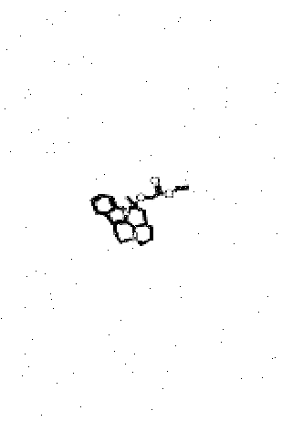 CCOC(=O)COC1(C)CC2CCCN3CCc4c(n1c1ccccc41)C23